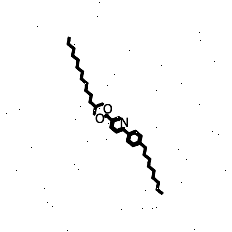 CCCCCCCCCCCCC1COC(c2ccc(-c3ccc(CCCCCCCCC)cc3)nc2)OC1